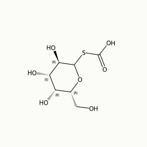 O=C(O)SC1O[C@H](CO)[C@H](O)[C@H](O)[C@H]1O